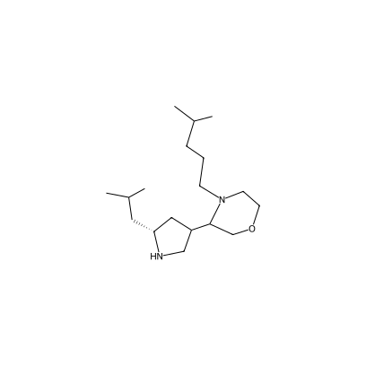 CC(C)CCCN1CCOCC1C1CN[C@H](CC(C)C)C1